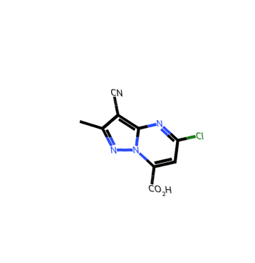 Cc1nn2c(C(=O)O)cc(Cl)nc2c1C#N